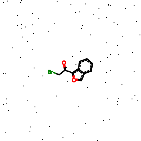 O=C(CBr)c1occ2ccccc12